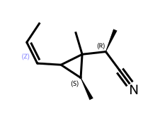 C/C=C\C1[C@H](C)C1(C)[C@@H](C)C#N